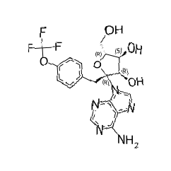 Nc1ncnc2c1ncn2[C@]1(Cc2ccc(OC(F)(F)F)cc2)O[C@H](CO)[C@@H](O)[C@H]1O